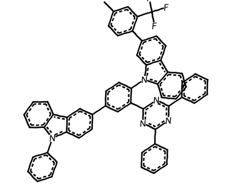 Cc1ccc(-c2ccc3c4ccccc4n(-c4ccc(-c5ccc6c(c5)c5ccccc5n6-c5ccccc5)cc4-c4nc(-c5ccccc5)nc(-c5ccccc5)n4)c3c2)c(C(F)(F)F)c1